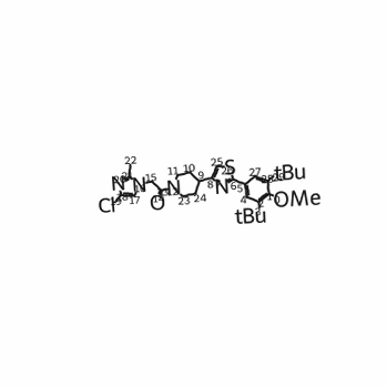 COc1c(C(C)(C)C)cc(-c2nc(C3CCN(C(=O)Cn4cc(Cl)nc4C)CC3)cs2)cc1C(C)(C)C